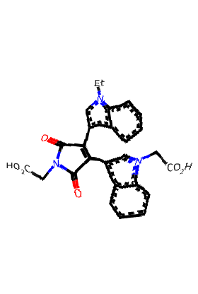 CCn1cc(C2=C(c3cn(CC(=O)O)c4ccccc34)C(=O)N(CC(=O)O)C2=O)c2ccccc21